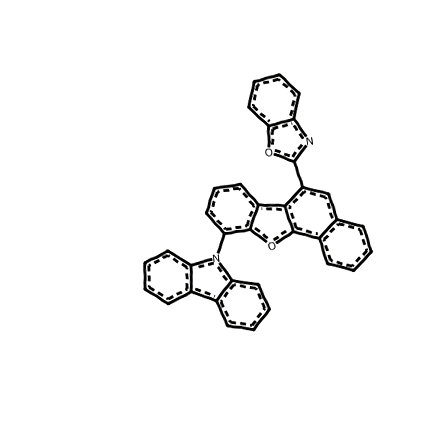 c1ccc2c(c1)cc(-c1nc3ccccc3o1)c1c3cccc(-n4c5ccccc5c5ccccc54)c3oc21